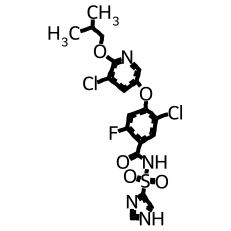 CC(C)COc1ncc(Oc2cc(F)c(C(=O)NS(=O)(=O)c3c[nH]cn3)cc2Cl)cc1Cl